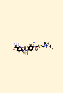 CN(C)CCSCC(=O)Nc1ccc(NC(=O)N(S)c2ccc(C(N)=O)cc2)cc1Cl